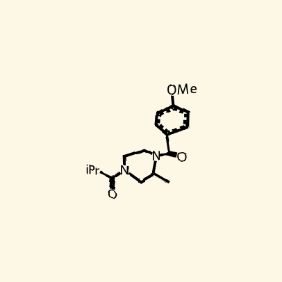 COc1ccc(C(=O)N2CCN(C(=O)C(C)C)CC2C)cc1